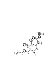 C=CCOCCC(C)CC(NC(=O)OC(C)(C)C)C(=O)CCl